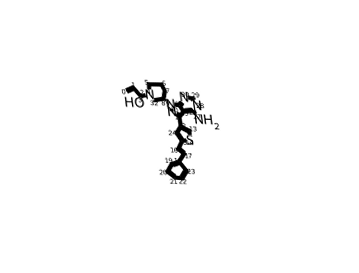 C=CC(O)N1CCC[C@@H](n2nc(-c3csc(/C=C/c4ccccc4)c3)c3c(N)ncnc32)C1